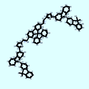 CC1(C)c2ccccc2-c2ccc(-n3c4ccccc4c4cc(-c5ccc(/C=C/c6ccc7c(c6)C6(c8ccccc8-c8ccccc86)c6cc(/C=C/c8ccc(-c9ccc%10c(c9)c9ccccc9n%10C9=CC%10C(C=C9)c9ccccc9C%10(C)C)s8)ccc6-7)s5)ccc43)cc21